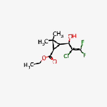 CCOC(=O)C1C(C(O)C(Cl)=C(F)F)C1(C)C